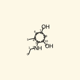 CCNc1c(C)cc(O)cc1O